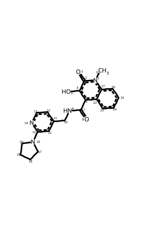 Cn1c(=O)c(O)c(C(=O)NCc2ccnc(N3CCCC3)c2)c2ccccc21